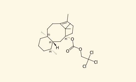 CC1=C2CC[C@]3(C)CCC[C@@H](C)[C@H]3C[C@](OC(=O)OCC(Cl)(Cl)Cl)(CC1)C2(C)C